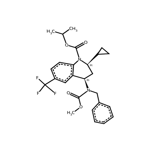 COC(=O)N(Cc1ccccc1)[C@@H]1C[C@H](C2CC2)N(C(=O)OC(C)C)c2ccc(C(F)(F)F)cc21